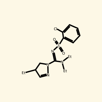 CCC1C=NN(/C(=N/S(=O)(=O)c2ccccc2Cl)N(CC)CC)C1